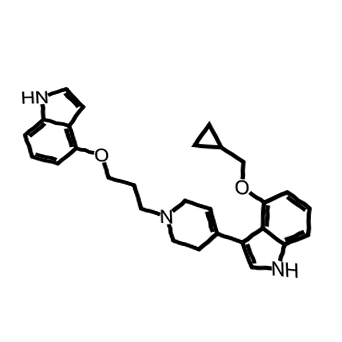 C1=C(c2c[nH]c3cccc(OCC4CC4)c23)CCN(CCCOc2cccc3[nH]ccc23)C1